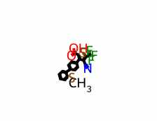 CSc1ccccc1-c1ccc(-c2c(C(=O)O)sc(C(F)(F)F)c2C#N)cc1